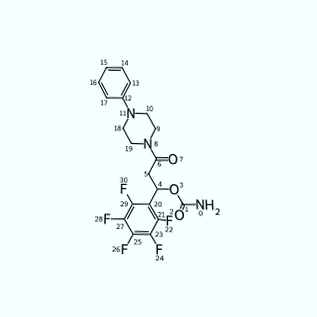 NC(=O)OC(CC(=O)N1CCN(c2ccccc2)CC1)c1c(F)c(F)c(F)c(F)c1F